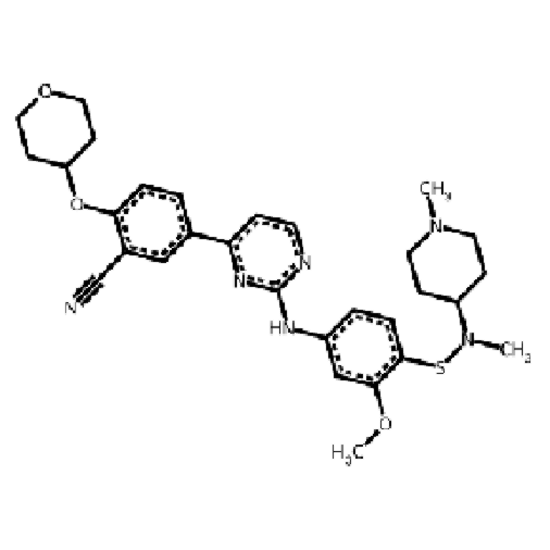 COc1cc(Nc2nccc(-c3ccc(OC4CCOCC4)c(C#N)c3)n2)ccc1SN(C)C1CCN(C)CC1